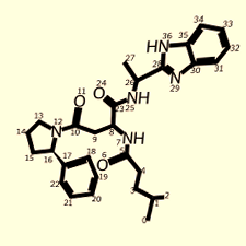 CC(C)CCC(=O)NC(CC(=O)N1CCC[C@@H]1c1ccccc1)C(=O)NC(C)c1nc2ccccc2[nH]1